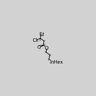 CCCCCCCCCOC(=O)CC(Cl)CC